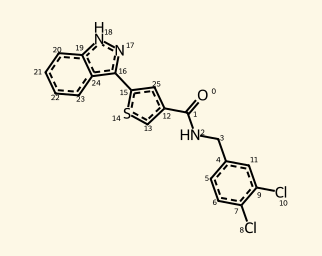 O=C(NCc1ccc(Cl)c(Cl)c1)c1csc(-c2n[nH]c3ccccc23)c1